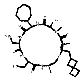 CCCC1C(=O)NC(C2CCCCCC2)C(=O)NC(CNC)C(=O)NC(CO)C(=O)N[C@H](C)CO/C(CC2CC3(CCC3)C2)=C(/C)C(=O)N1C